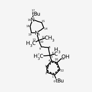 CC(C)(C)c1ccc(C(C)(C)CCC(C)(C)N2CCN(C(C)(C)C)CC2)c(O)c1